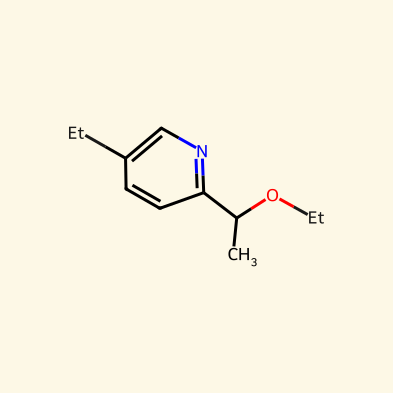 CCOC(C)c1ccc(CC)cn1